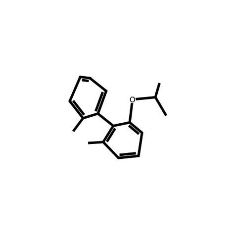 Cc1ccccc1-c1c(C)cccc1OC(C)C